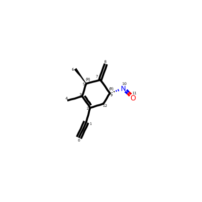 C#CC1=C(C)[C@@H](C)C(=C)[C@H](N=O)C1